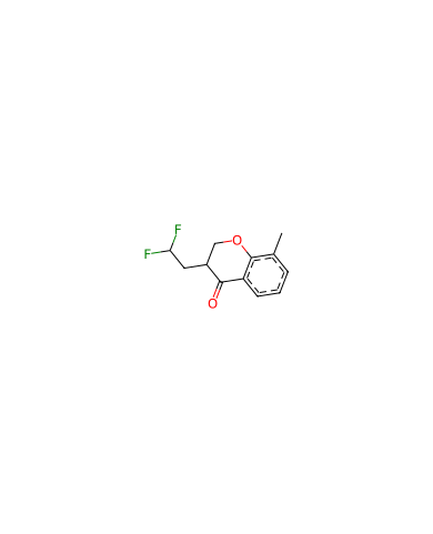 Cc1cccc2c1OCC(CC(F)F)C2=O